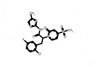 Cc1cnc(NC(=O)C(Cc2cc(F)ccc2Cl)n2ccc(S(C)(=O)=O)cc2=O)s1